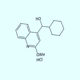 COc1cc(C(O)C2CCCCC2)c2ccccc2n1.Cl